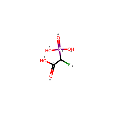 O=C(O)C(F)P(=O)(O)O